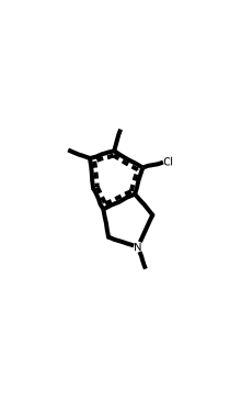 Cc1cc2c(c(Cl)c1C)CN(C)C2